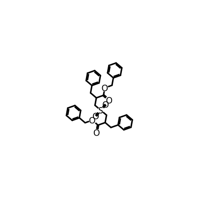 O=C(OCc1ccccc1)C(Cc1ccccc1)CS(=O)(=O)CC(Cc1ccccc1)C(=O)OCc1ccccc1